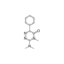 CN(C)c1nnc(-c2ccccc2)c(=O)n1C